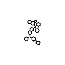 c1ccc(N(c2ccc3cc4c(cc3c2)C2(c3ccccc3-c3ccccc32)c2c-4c3ccccc3c3ccccc23)c2ccc3c(c2)oc2ccccc23)cc1